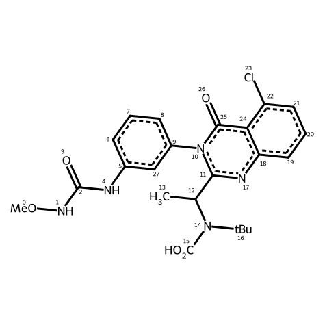 CONC(=O)Nc1cccc(-n2c(C(C)N(C(=O)O)C(C)(C)C)nc3cccc(Cl)c3c2=O)c1